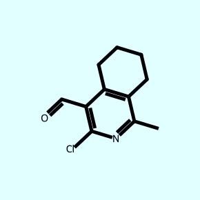 Cc1nc(Cl)c(C=O)c2c1CCCC2